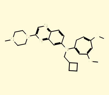 COC1=CCC(N(CC2CCC2)c2ccc3ncc(N4CCN(C)CC4)nc3c2)=CC(OC)=C1